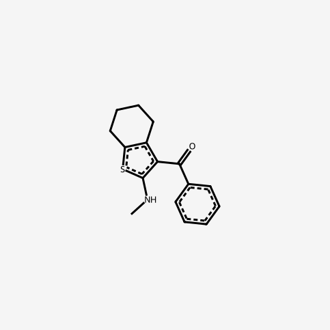 CNc1sc2c(c1C(=O)c1ccccc1)CCCC2